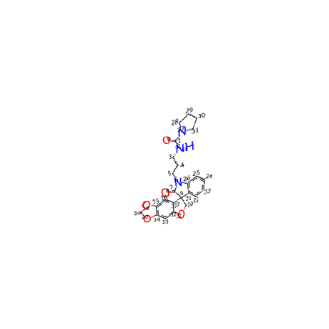 O=C(NCCCN1C(=O)C2(COc3cc4c(cc32)OCO4)c2ccccc21)N1CCCC1